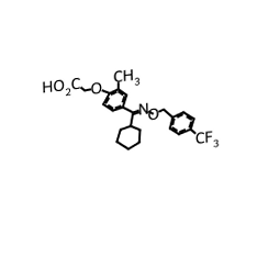 Cc1cc(C(=NOCc2ccc(C(F)(F)F)cc2)C2CCCCC2)ccc1OCC(=O)O